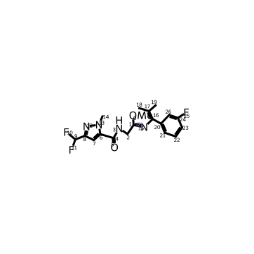 CO/C(CNC(=O)c1cc(C(F)F)nn1C)=N\C(=C(C)C)c1cccc(F)c1